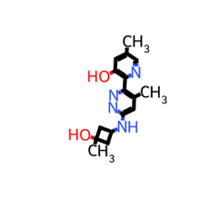 Cc1cnc(-c2nnc(NC3CC(C)(O)C3)cc2C)c(O)c1